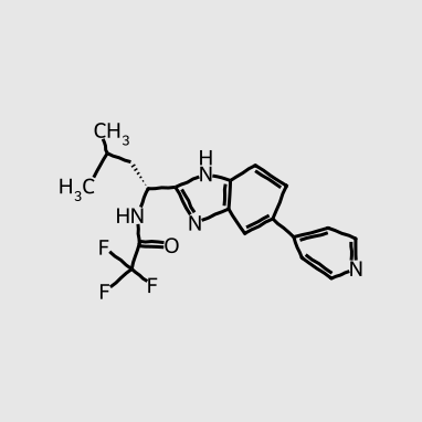 CC(C)C[C@@H](NC(=O)C(F)(F)F)c1nc2cc(-c3ccncc3)ccc2[nH]1